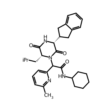 Cc1cccc(C(C(=O)NC2CCCCC2)N2C(=O)[C@@H](C3Cc4ccccc4C3)NC(=O)[C@H]2CC(C)C)n1